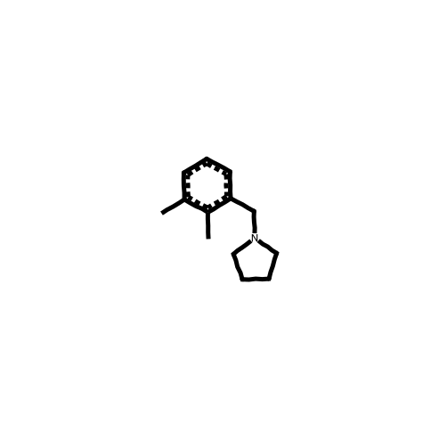 Cc1cccc(CN2CCCC2)c1C